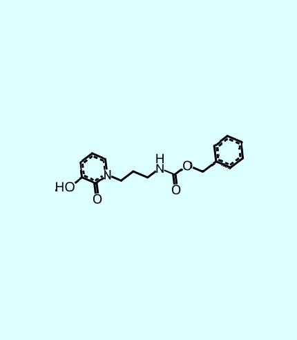 O=C(NCCCn1cccc(O)c1=O)OCc1ccccc1